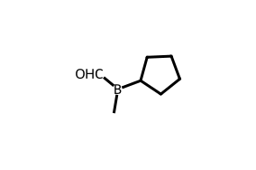 CB(C=O)C1CCCC1